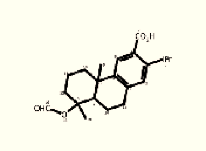 CC(C)c1cc2c(cc1C(=O)O)C1(C)CCCC(C)(OC=O)C1CC2